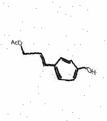 CC(=O)OCC=Cc1ccc(O)cc1